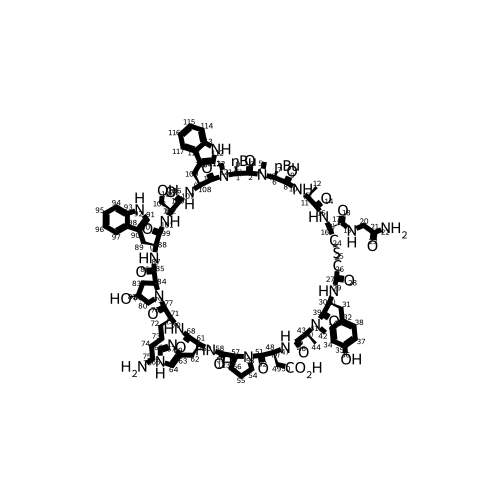 CCCC[C@H]1C(=O)N(C)[C@@H](CCCC)C(=O)N[C@@H](C)C(=O)N[C@H](C(=O)NCC(N)=O)CSCC(=O)N[C@@H](Cc2ccc(O)cc2)C(=O)N(C)[C@@H](C)C(=O)N[C@@H](CC(=O)O)C(=O)N2CCC[C@H]2C(=O)N[C@@H](Cc2c[nH]cn2)C(=O)N[C@@H](CCCCN)C(=O)N2C[C@H](O)CC2C(=O)N[C@@H](Cc2c[nH]c3ccccc23)C(=O)N[C@@H](CO)C(=O)N[C@@H](Cc2c[nH]c3ccccc23)C(=O)N1C